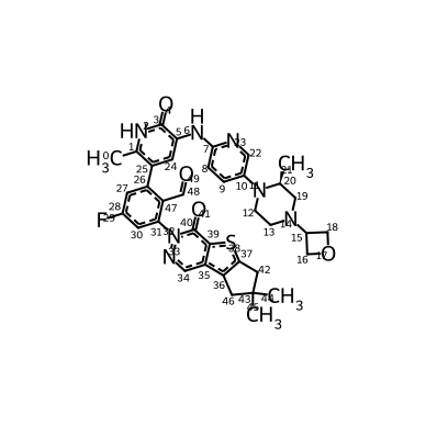 Cc1[nH]c(=O)c(Nc2ccc(N3CCN(C4COC4)C[C@@H]3C)cn2)cc1-c1cc(F)cc(-n2ncc3c4c(sc3c2=O)CC(C)(C)C4)c1C=O